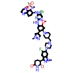 COc1cc(N2CCC(CN3CCN(c4cc5c(cc4F)c(C4CCC(=O)NC4=O)nn5C)CC3)CC2)c(-c2cnn(C)c2)cc1Nc1ncc(Br)c(Nc2ccc3nccnc3c2N(C)S(C)(=O)=O)n1